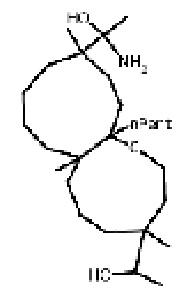 CCCCCC12CCCC(C)(C(C)O)CCCC1(C)CCCCC(C)(C(C)(N)O)CC2